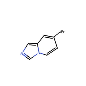 CC(C)c1ccn2cncc2c1